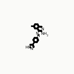 Cc1ccc2cnc(N)c(/N=N/c3ccc(-c4cn[nH]c4)cc3)c2c1